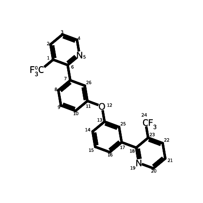 FC(F)(F)c1cccnc1-c1cccc(Oc2cccc(-c3ncccc3C(F)(F)F)c2)c1